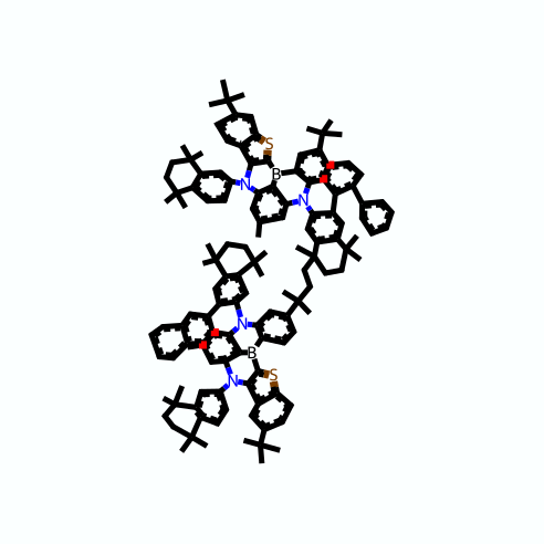 Cc1cc2c3c(c1)N(c1ccc4c(c1)C(C)(C)CCC4(C)C)c1c(sc4ccc(C(C)(C)C)cc14)B3c1ccc(C(C)(C)CCC3(C)CCC(C)(C)c4cc(-c5ccccc5-c5ccccc5)c(N5c6ccc(C(C)(C)C)cc6B6c7sc8cc(C(C)(C)C)ccc8c7N(c7ccc8c(c7)C(C)(C)CCC8(C)C)c7cc(C)cc5c76)cc43)cc1N2c1cc2c(cc1-c1ccc3ccccc3c1)C(C)(C)CCC2(C)C